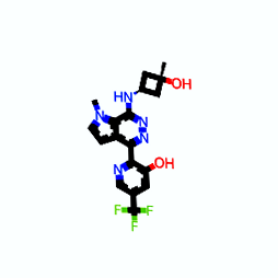 Cn1ccc2c(-c3ncc(C(F)(F)F)cc3O)nnc(N[C@H]3C[C@@](C)(O)C3)c21